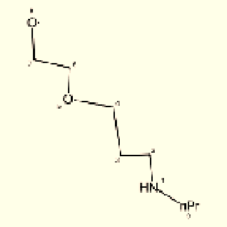 CCCNCCCOCC[O]